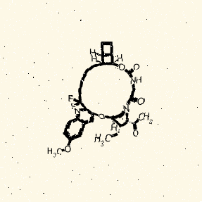 CC[C@@H]1[C@@H]2CN(C(=O)CNC(=O)O[C@@H]3C4CC[C@H]4[C@H]3CCCCC(F)(F)c3nc4ccc(OC)cc4cc3O2)[C@@H]1C(C)=O